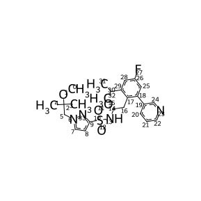 COC(C)(C)Cn1ccc(S(=O)(=O)NC(=O)Cc2c(-c3cccnc3)cc(F)cc2C(C)C)n1